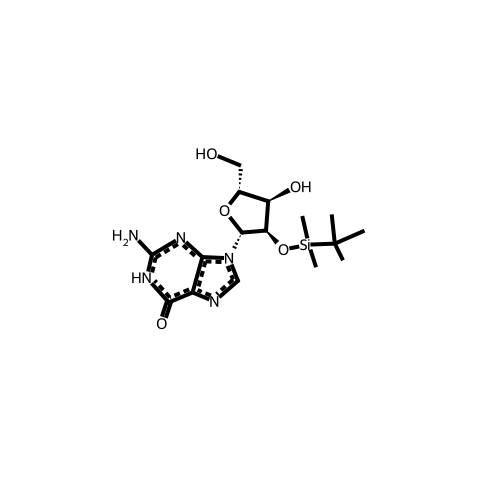 CC(C)(C)[Si](C)(C)O[C@@H]1[C@H](O)[C@@H](CO)O[C@H]1n1cnc2c(=O)[nH]c(N)nc21